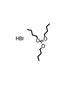 Br.CCCCOP(OCCCC)OCCCC